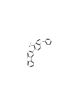 O=[N+]([O-])c1c(-c2ccc3sc4ccccc4c3c2)ccc2c1ccn2-c1ccccc1